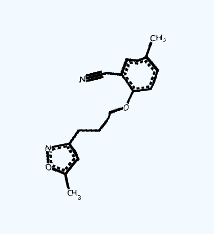 Cc1ccc(OCCCc2cc(C)on2)c(C#N)c1